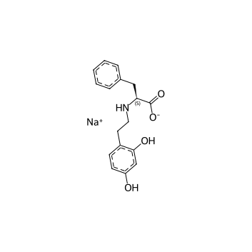 O=C([O-])[C@H](Cc1ccccc1)NCCc1ccc(O)cc1O.[Na+]